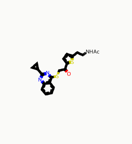 CC(=O)NCCc1ccc(C(=O)CSc2nc(C3CC3)nc3ccccc23)s1